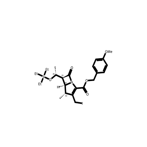 CC[Si](CC)(CC)O[C@H](C)[C@H]1C(=O)N2C(C(=O)OCc3ccc(OC)cc3)=C(CI)[C@H](C)[C@@H]12